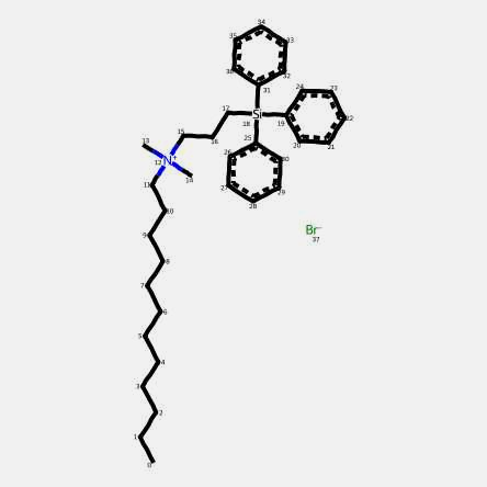 CCCCCCCCCCCC[N+](C)(C)CCC[Si](c1ccccc1)(c1ccccc1)c1ccccc1.[Br-]